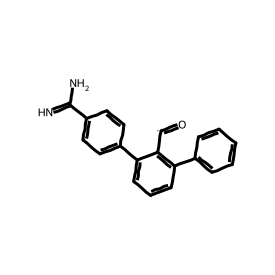 N=C(N)c1ccc(-c2cccc(-c3ccccc3)c2[C]=O)cc1